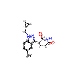 CC(C)c1ccc2c(c1)c(C1CCC(=O)NC1=O)nn2CC1CC1